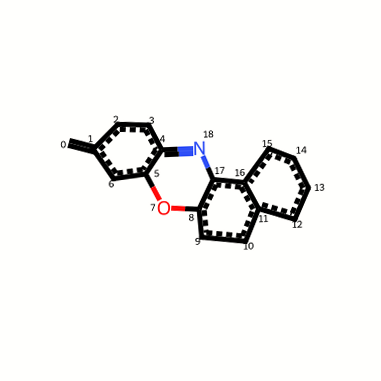 C=c1ccc2c(c1)Oc1ccc3ccccc3c1N=2